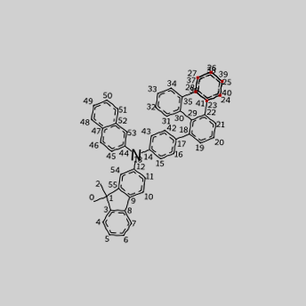 CC1(C)c2ccccc2-c2ccc(N(c3ccc(-c4cccc(-c5ccccc5)c4-c4ccccc4-c4ccccc4)cc3)c3ccc4ccccc4c3)cc21